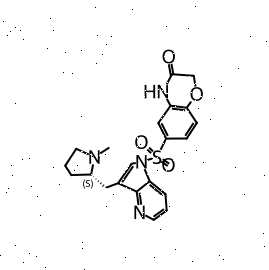 CN1CCC[C@H]1Cc1cn(S(=O)(=O)c2ccc3c(c2)NC(=O)CO3)c2cccnc12